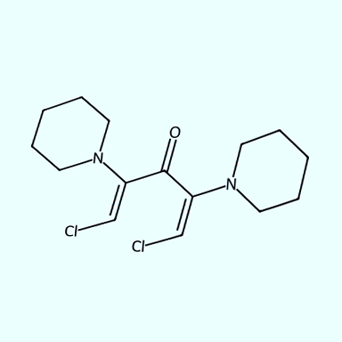 O=C(C(=CCl)N1CCCCC1)C(=CCl)N1CCCCC1